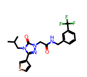 CC(C)Cn1c(-c2ccsc2)nn(CC(=O)NCc2cccc(C(F)(F)F)c2)c1=O